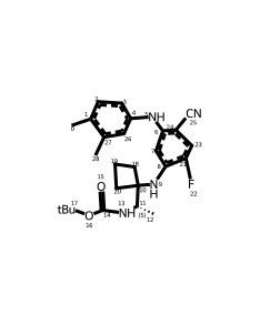 Cc1ccc(Nc2cc(NC3([C@H](C)NC(=O)OC(C)(C)C)CCC3)c(F)cc2C#N)cc1C